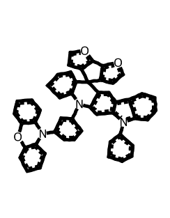 c1ccc(-n2c3ccccc3c3cc4c(cc32)N(c2cccc(N3c5ccccc5Oc5ccccc53)c2)c2ccccc2C42c3ccoc3-c3occc32)cc1